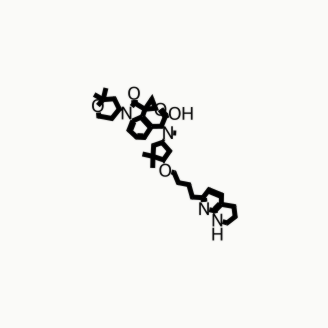 CN([C@H]1C[C@H](OCCCCc2ccc3c(n2)NCCC3)C(C)(C)C1)[C@@H](C(=O)O)c1cccc2c1C1(CC1)C(=O)N2[C@@H]1CCOC(C)(C)C1